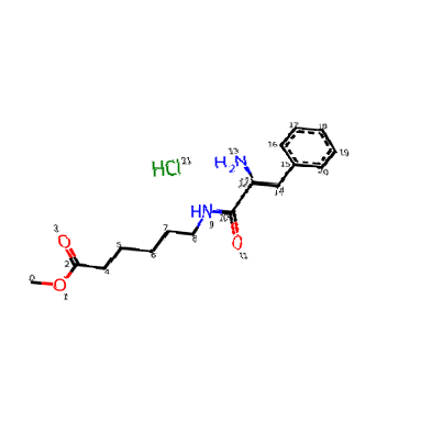 COC(=O)CCCCCNC(=O)[C@@H](N)Cc1ccccc1.Cl